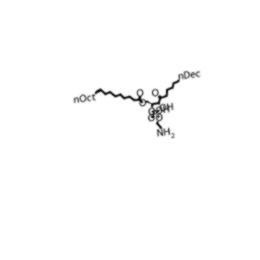 CCCCCCCC/C=C\CCCCCCCC(=O)OC[C@H](OP(=O)(O)OCCN)C(O)C(=O)CCCCCCCCCCCCCCC